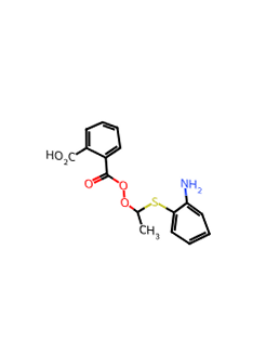 CC(OOC(=O)c1ccccc1C(=O)O)Sc1ccccc1N